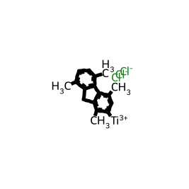 Cc1ccc(C)c2c1Cc1c(C)[c]([Ti+3])cc(C)c1-2.[Cl-].[Cl-].[Cl-]